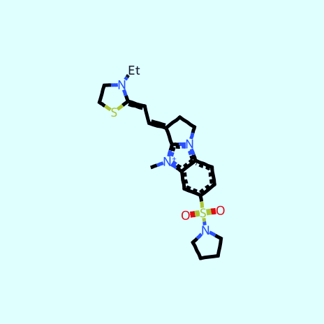 CCN1CCSC1=CC=C1CCn2c1[n+](C)c1cc(S(=O)(=O)N3CCCC3)ccc12